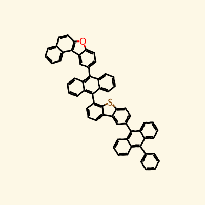 c1ccc(-c2c3ccccc3c(-c3ccc4sc5c(-c6c7ccccc7c(-c7ccc8oc9ccc%10ccccc%10c9c8c7)c7ccccc67)cccc5c4c3)c3ccccc23)cc1